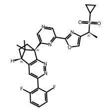 C[C@@H](c1coc(-c2cncc([C@@]34CC[C@@H](c5cc(-c6c(F)cccc6F)nnc53)C4(C)C)n2)n1)S(=O)(=O)C1CC1